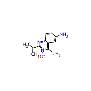 Cc1c2cc(N)ccc2nc(C(C)C)[n+]1[O-]